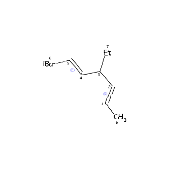 C/C=C/C(/[C]=C/C(C)CC)CC